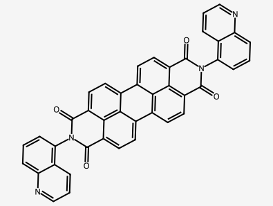 O=C1c2ccc3c4ccc5c6c(ccc(c7ccc(c2c37)C(=O)N1c1cccc2ncccc12)c64)C(=O)N(c1cccc2ncccc12)C5=O